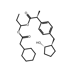 CCC(OC(=O)CC1CCCCC1)OC(=O)[C@@H](C)c1ccc(C[C@H]2CCC[C@@H]2O)cc1